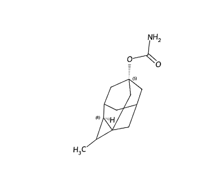 CC1[C@H]2C3CC4CC12C[C@](OC(N)=O)(C4)C3